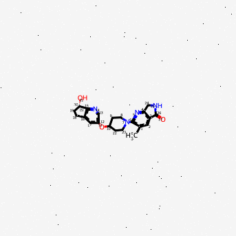 Cc1cc2c(nc1N1CCC(Oc3cnc4c(c3)CC[C@@H]4O)CC1)CNC2=O